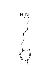 Cc1ccc(CCCCCCN)cc1